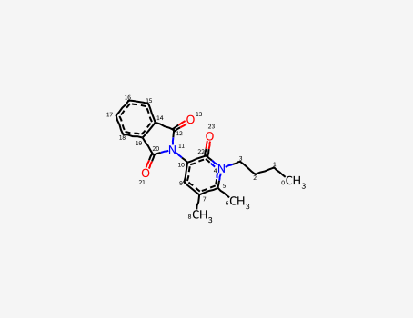 CCCCn1c(C)c(C)cc(N2C(=O)c3ccccc3C2=O)c1=O